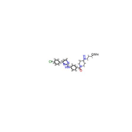 COCCCNC1CCN(C(=O)c2ccc(Nc3nccc(-c4ccc(Cl)cc4)n3)cc2)CC1